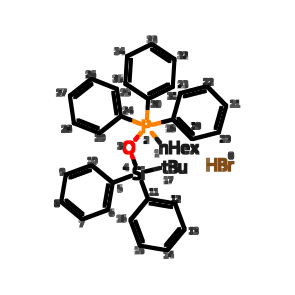 Br.CCCCCCP(O[Si](c1ccccc1)(c1ccccc1)C(C)(C)C)(c1ccccc1)(c1ccccc1)c1ccccc1